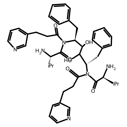 CC(C)[C@H](N)C(=O)N(C(=O)CCc1cccnc1)[C@@H](Cc1ccccc1)C(O)C(O)[C@H](Cc1ccccc1)N(C(=O)CCc1cccnc1)C(=O)[C@@H](N)C(C)C